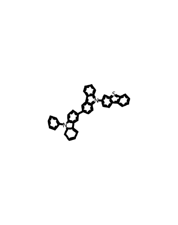 C1=CCC2C(=C1)c1cc(-c3ccc4c(c3)c3ccccc3n4-c3ccc4c(c3)sc3ccccc34)ccc1N2c1ccccc1